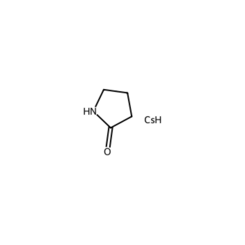 O=C1CCCN1.[CsH]